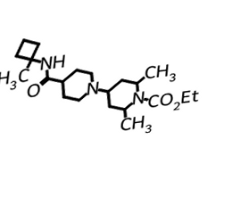 CCOC(=O)N1C(C)CC(N2CCC(C(=O)NC3(C)CCC3)CC2)CC1C